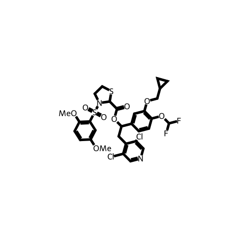 COc1ccc(OC)c(S(=O)(=O)N2CCSC2C(=O)OC(Cc2c(Cl)cncc2Cl)c2ccc(OC(F)F)c(OCC3CC3)c2)c1